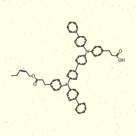 CC/C=C\COC(=O)CCc1ccc(N(c2ccc(-c3ccccc3)cc2)c2ccc(-c3ccc(N(c4ccc(CCC(=O)O)cc4)c4ccc(-c5ccccc5)cc4)cc3)cc2)cc1